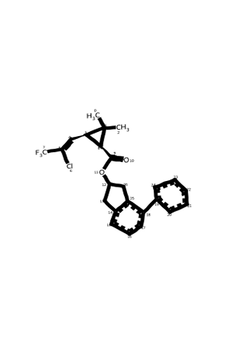 CC1(C)[C@H](C=C(Cl)C(F)(F)F)[C@@H]1C(=O)OC1Cc2cccc(-c3ccccc3)c2C1